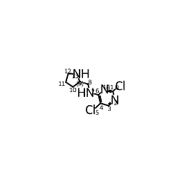 Clc1ncc(Cl)c(NC[C@H]2CCCN2)n1